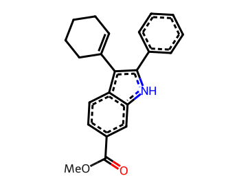 COC(=O)c1ccc2c(C3=CCCCC3)c(-c3ccccc3)[nH]c2c1